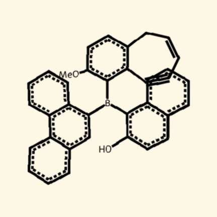 COc1ccc2c(c1B(c1c(O)ccc3ccccc13)c1cc3ccccc3c3ccccc13)C#CC=CC2